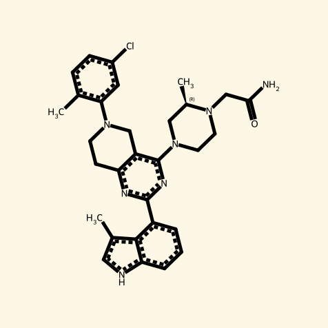 Cc1ccc(Cl)cc1N1CCc2nc(-c3cccc4[nH]cc(C)c34)nc(N3CCN(CC(N)=O)[C@H](C)C3)c2C1